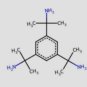 CC(C)(N)c1cc(C(C)(C)N)cc(C(C)(C)N)c1